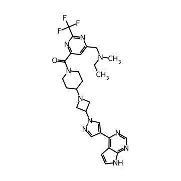 CCN(C)Cc1cc(C(=O)N2CCC(N3CC(n4cc(-c5ncnc6[nH]ccc56)cn4)C3)CC2)nc(C(F)(F)F)n1